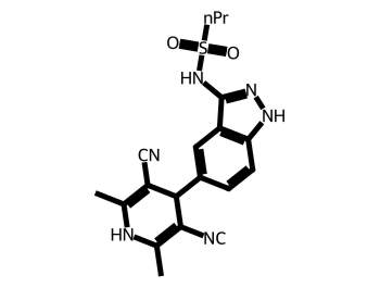 [C-]#[N+]C1=C(C)NC(C)=C(C#N)C1c1ccc2[nH]nc(NS(=O)(=O)CCC)c2c1